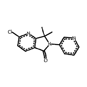 CC1(C)c2nc(Cl)ccc2C(=O)N1c1cccnc1